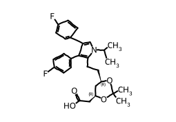 CC(C)n1cc(-c2ccc(F)cc2)c(-c2ccc(F)cc2)c1CC[C@@H]1C[C@H](CC(=O)O)OC(C)(C)O1